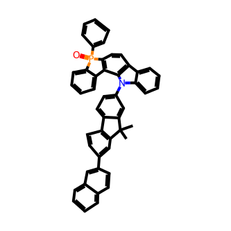 CC1(C)c2cc(-c3ccc4ccccc4c3)ccc2-c2ccc(-n3c4ccccc4c4ccc5c(c43)-c3ccccc3P5(=O)c3ccccc3)cc21